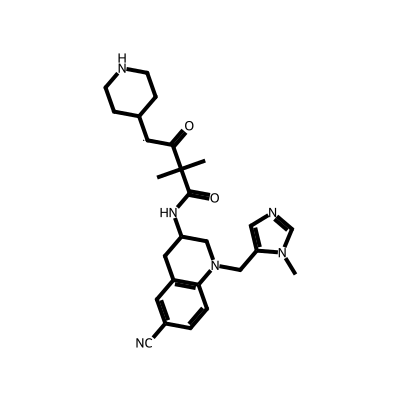 Cn1cncc1CN1CC(NC(=O)C(C)(C)C(=O)[CH]C2CCNCC2)Cc2cc(C#N)ccc21